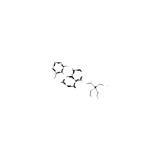 Cc1cc(=O)c2c(OCC(CO)(CO)CO)ncc(Cl)c2n1-c1c(Cl)cccc1Cl